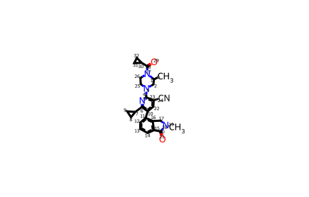 CC1CN(c2nc(C3CC3)c(-c3cccc4c3CN(C)C4=O)cc2C#N)CCN1C(=O)C1CC1